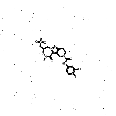 CN1OC(CS(C)(=O)=O)Cn2nc3c(c2C1=O)CN(C(=O)Nc1ccc(F)c(Cl)c1)CC3